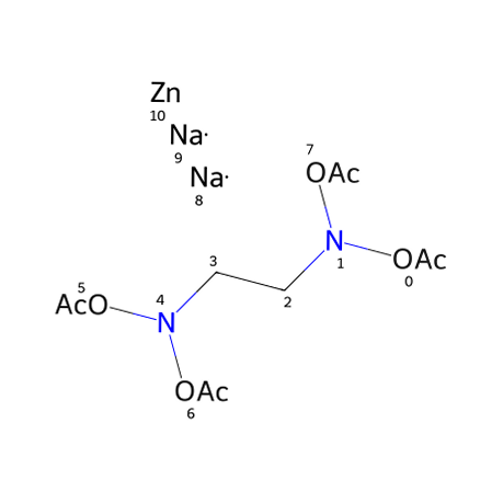 CC(=O)ON(CCN(OC(C)=O)OC(C)=O)OC(C)=O.[Na].[Na].[Zn]